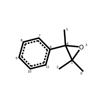 CC1(C)OC1(C)c1ccccc1